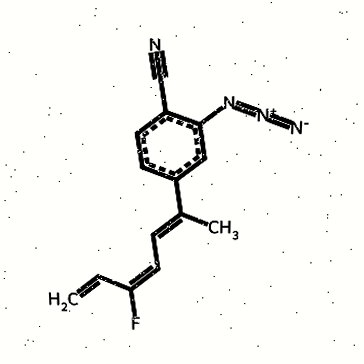 C=C/C(F)=C\C=C(/C)c1ccc(C#N)c(N=[N+]=[N-])c1